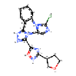 Clc1ncc2n1c1ccccc1c1nnc(-c3nc(C4CCOC4)no3)n12